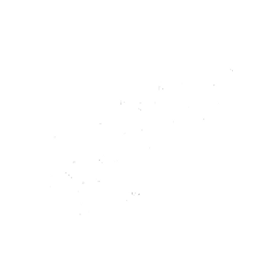 COc1cc2c(=O)c3c4ccc(C#N)cc4[nH]c3n(C(C)C)c2c(F)c1N1C[C@@H](C)N(C)[C@@H](C)C1